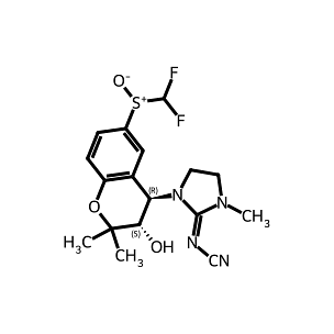 CN1CCN([C@@H]2c3cc([S+]([O-])C(F)F)ccc3OC(C)(C)[C@H]2O)C1=NC#N